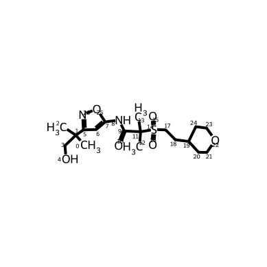 CC(C)(CO)c1cc(NC(=O)C(C)(C)S(=O)(=O)CCC2CCOCC2)on1